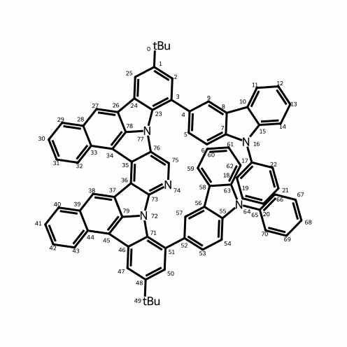 CC(C)(C)c1cc(-c2ccc3c(c2)c2ccccc2n3-c2ccccc2)c2c(c1)c1cc3ccccc3c3c4c5c6cc7ccccc7c7c8cc(C(C)(C)C)cc(-c9ccc%10c(c9)c9ccccc9n%10-c9ccccc9)c8n(c5ncc4n2c13)c67